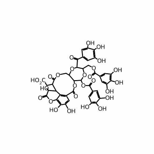 O=C(O)CC1C(=O)OCC2OC(C(=O)c3cc(O)c(O)c(O)c3)C(COC(=O)c3cc(O)c(O)c(O)c3)OC(OC(=O)c3cc(O)c(O)c(O)c3)C2OC(=O)c2cc(O)c(O)c3c2C1C(O)C(=O)O3